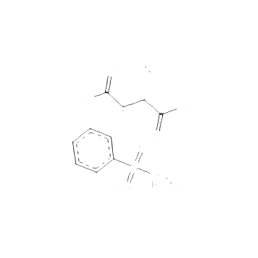 O=C([O-])CCC(=O)[O-].O=S(=O)(O)c1ccccc1.[Na+].[Na+]